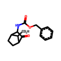 O=C(NC1C(=O)C2CCC1C2C(=O)O)OCc1ccccc1